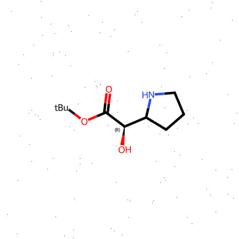 CC(C)(C)OC(=O)[C@H](O)C1CCCN1